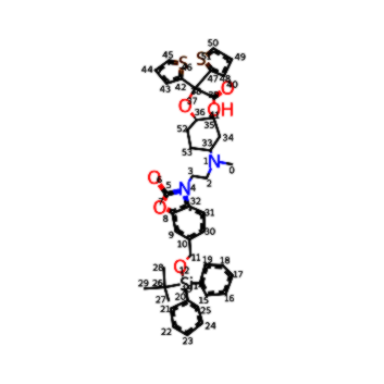 CN(CCn1c(=O)oc2cc(CO[Si](c3ccccc3)(c3ccccc3)C(C)(C)C)ccc21)[C@H]1CC[C@H](OC(C(=O)O)(c2cccs2)c2cccs2)CC1